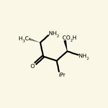 CC(C)C(C(=O)[C@H](C)N)[C@H](N)C(=O)O